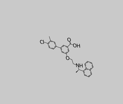 Cc1cc(-c2cc(OCCN[C@H](C)c3cccc4ccccc34)cc(C(=O)O)c2)ccc1Cl